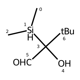 C[SiH](C)C(O)(C=O)C(C)(C)C